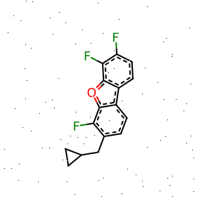 Fc1ccc2c(oc3c(F)c(CC4CC4)ccc32)c1F